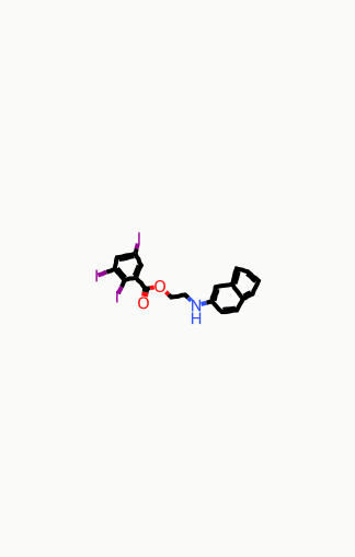 O=C(OCCNc1ccc2ccccc2c1)c1cc(I)cc(I)c1I